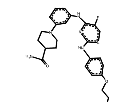 COCCOc1ccc(Nc2ncc(F)c(Nc3cccc(N4CCC(C(N)=O)CC4)c3)n2)cc1